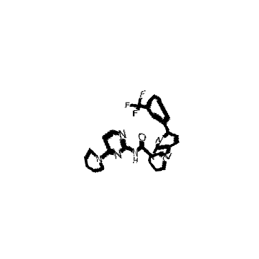 O=C(Nc1nccc(N2CCCCC2)n1)N1c2nc(-c3cccc(C(F)(F)F)c3)ccc2N2CCC1CC2